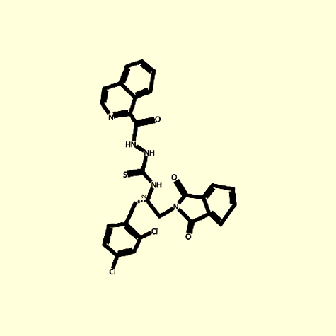 O=C(NNC(=S)N[C@@H](Cc1ccc(Cl)cc1Cl)CN1C(=O)c2ccccc2C1=O)c1nccc2c[c]ccc12